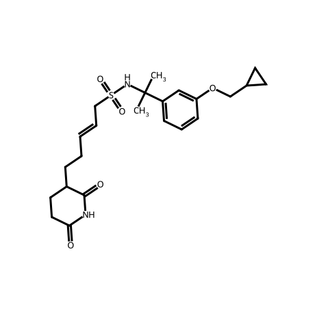 CC(C)(NS(=O)(=O)C/C=C/CCC1CCC(=O)NC1=O)c1cccc(OCC2CC2)c1